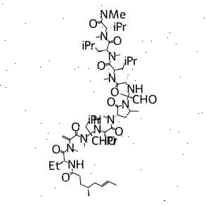 C=C(C(=O)N(C)[C@](C=O)(CC(C)C)N[C@@H](C(=O)N(C)[C@H]1CC(C)N([C@@](C)(C=O)N[C@@H](C)C(=O)N(C)[C@H](CC(C)C)C(=O)N(C)[C@@H](CC(C)C)C(=O)N(C)[C@H](C(=O)NC)C(C)C)C1=O)C(C)C)N(C)C(=O)[C@H](CC)NC(=O)CC[C@H](C)C/C=C/C